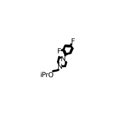 CC(C)OCCN1CCN(c2ccc(F)cc2F)CC1